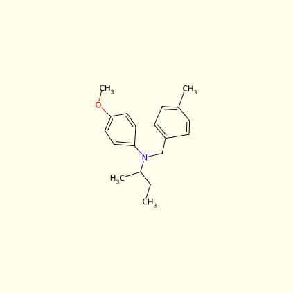 CCC(C)N(Cc1ccc(C)cc1)c1ccc(OC)cc1